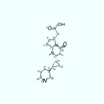 O=C(O)Cc1csc2nc([C@@H]3C[C@H]3c3cccnc3)cc(=O)n12